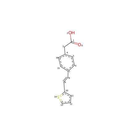 O=C(O)Cc1ccc(/C=C/c2cccs2)cc1